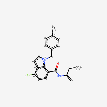 C=C(CC(=O)O)NC(=O)c1ccc(F)c2ccn(Cc3ccc(C(F)(F)F)cc3)c12